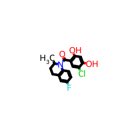 CC1CCc2cc(F)ccc2N1C(=O)c1cc(Cl)c(O)cc1O